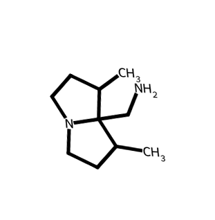 CC1CCN2CCC(C)C12CN